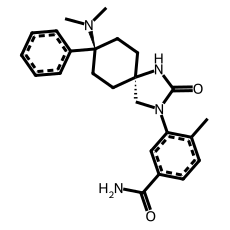 Cc1ccc(C(N)=O)cc1N1C[C@]2(CC[C@](c3ccccc3)(N(C)C)CC2)NC1=O